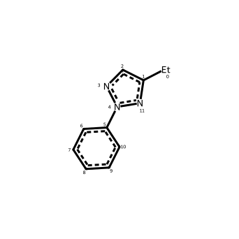 CCc1[c]nn(-c2ccccc2)n1